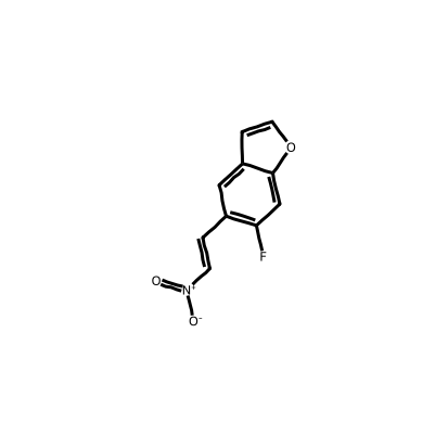 O=[N+]([O-])/C=C/c1cc2ccoc2cc1F